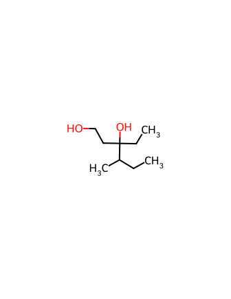 CCC(C)C(O)(CC)CCO